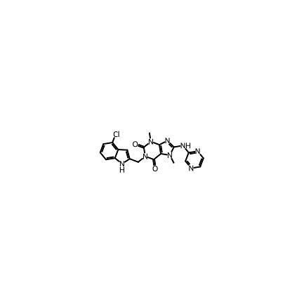 Cn1c(Nc2cnccn2)nc2c1c(=O)n(Cc1cc3c(Cl)cccc3[nH]1)c(=O)n2C